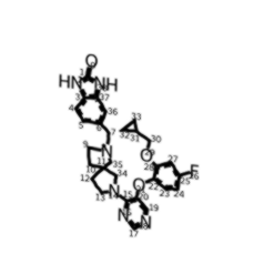 O=c1[nH]c2ccc(CN3CCC4(CCN(c5ncncc5Oc5ccc(F)cc5OCC5CC5)C4)C3)cc2[nH]1